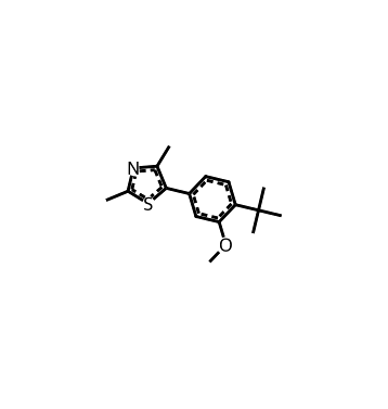 COc1cc(-c2sc(C)nc2C)ccc1C(C)(C)C